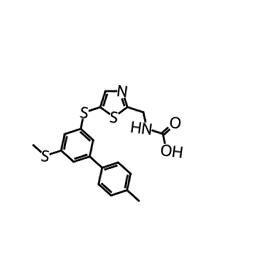 CSc1cc(Sc2cnc(CNC(=O)O)s2)cc(-c2ccc(C)cc2)c1